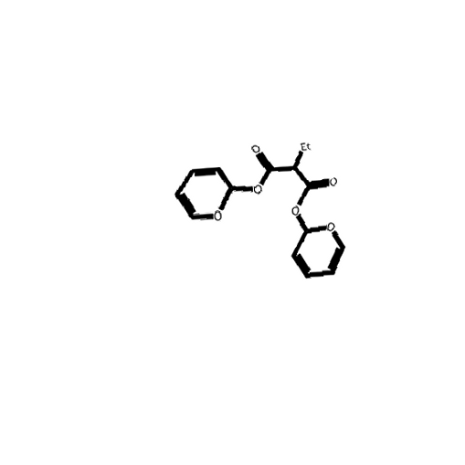 CCC(C(=O)OC1C=CC=CO1)C(=O)OC1C=CC=CO1